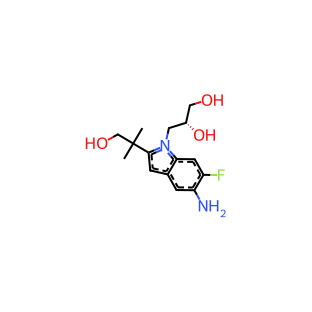 CC(C)(CO)c1cc2cc(N)c(F)cc2n1C[C@@H](O)CO